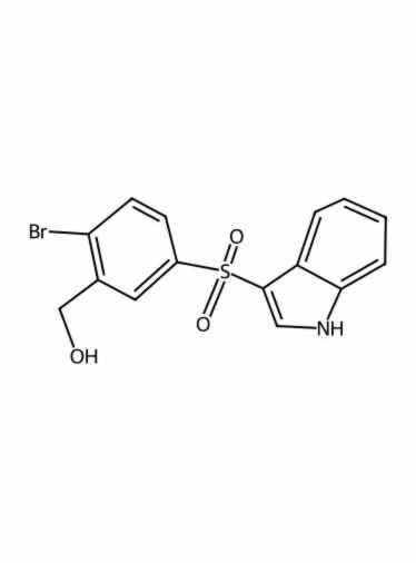 O=S(=O)(c1ccc(Br)c(CO)c1)c1c[nH]c2ccccc12